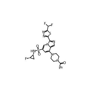 CC(C)C(=O)N1CCN(c2cc(S(=O)(=O)N[C@H]3C[C@H]3F)cn3c(-c4nnc(C(F)F)s4)ncc23)CC1